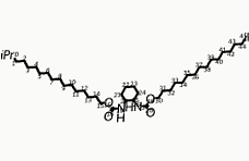 CC(C)CCCCCCCCCCCCCCCOC(=O)NC1CCCCC1NC(=O)OCCCCCCCCCCCCCCCC(C)C